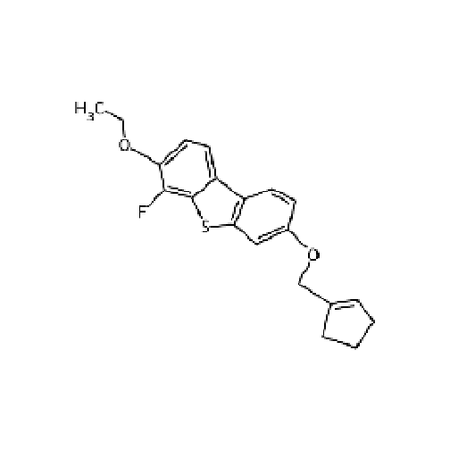 CCOc1ccc2c(sc3cc(OCC4=CCCC4)ccc32)c1F